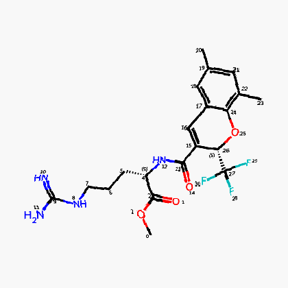 COC(=O)[C@H](CCCNC(=N)N)NC(=O)C1=Cc2cc(C)cc(C)c2O[C@@H]1C(F)(F)F